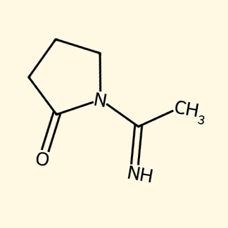 CC(=N)N1CCCC1=O